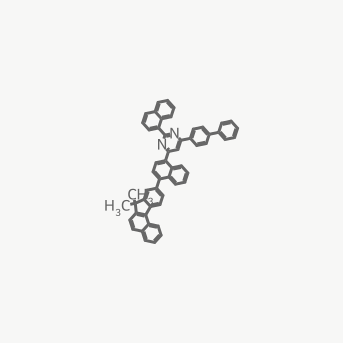 CC1(C)c2cc(-c3ccc(-c4cc(-c5ccc(-c6ccccc6)cc5)nc(-c5cccc6ccccc56)n4)c4ccccc34)ccc2-c2c1ccc1ccccc21